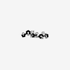 O=C(Nc1cnc(-n2nccn2)c(Cl)c1)c1cnn(-c2cccc(-c3ccco3)n2)c1C(F)(F)F